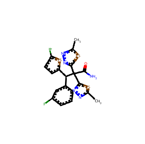 Cc1nnc(C(C(N)=O)(c2nnc(C)s2)C(c2cccc(F)c2)c2ccc(Br)s2)s1